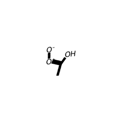 CC(O)=[O+][O-]